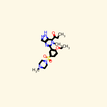 CCOc1ccc(S(=O)(=O)N2CCN(C)CC2)cc1C1=Nc2cn[nH]c2C(C(=O)CC)N1C